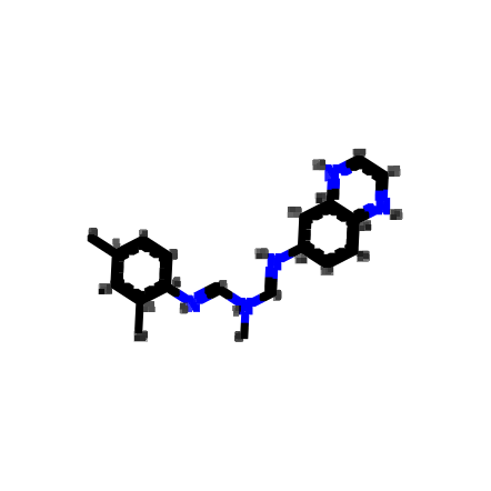 Cc1ccc(/N=C/N(C)/C=N/c2ccc3nccnc3c2)c(C)c1